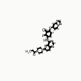 C=CC(=O)N1CCN(c2ccc3ncnc(Nc4ccc(Oc5ccn6ncnc6c5)c(Cl)c4F)c3n2)CC1